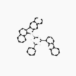 c1ccc(-c2nc(-c3cccc4c3sc3ccccc34)nc(-n3c4cc5ccccc5cc4c4ccc5ccccc5c43)n2)cc1